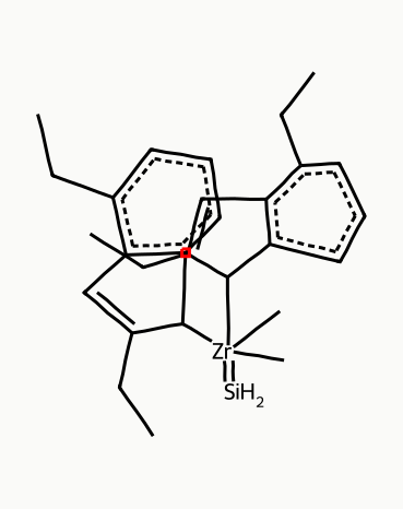 CCC1=Cc2c(CC)cccc2[CH]1[Zr]([CH3])([CH3])(=[SiH2])[CH]1C(CC)=Cc2c(CC)cccc21